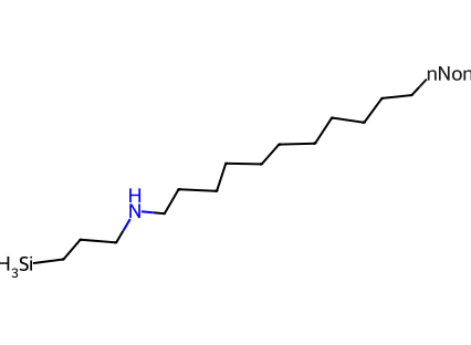 CCCCCCCCCCCCCCCCCCCCNCCC[SiH3]